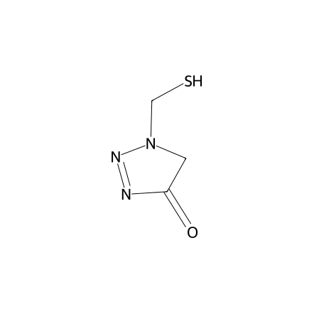 O=C1CN(CS)N=N1